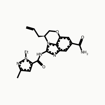 C=CC[C@H]1COc2cc(C(N)=O)cc3nc(NC(=O)c4cc(C)nn4CC)n1c23